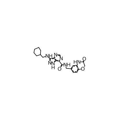 O=C1COc2ccc(CNC(=O)c3ncnc4c(NCC5CCCCC5)n[nH]c34)cc2N1